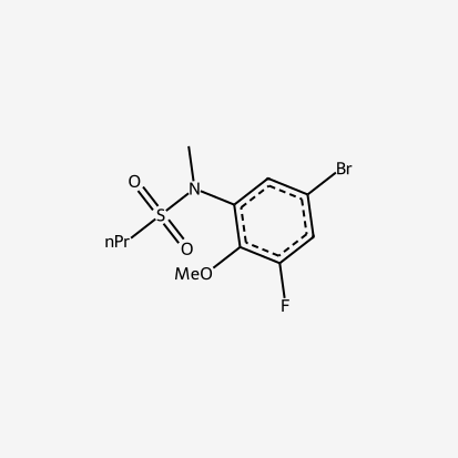 CCCS(=O)(=O)N(C)c1cc(Br)cc(F)c1OC